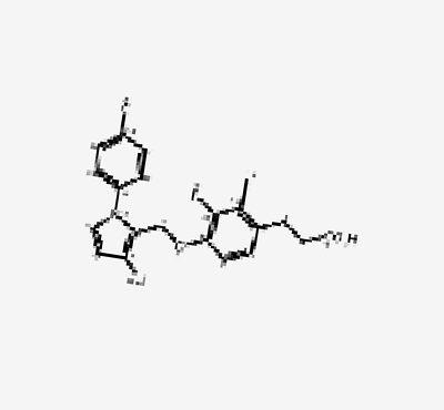 O=C(O)CCc1ccc(OCc2c(Cl)ccn2-c2ccc(Cl)cc2)c(F)c1F